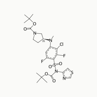 CN(c1cc(F)c(S(=O)(=O)N(C(=O)OC(C)(C)C)c2cscn2)c(F)c1Cl)[C@H]1CCN(C(=O)OC(C)(C)C)C1